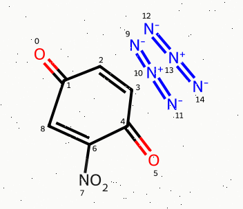 O=C1C=CC(=O)C([N+](=O)[O-])=C1.[N-]=[N+]=[N-].[N-]=[N+]=[N-]